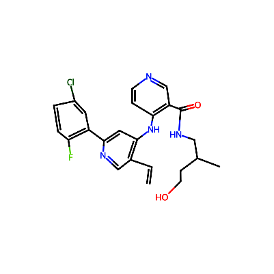 C=Cc1cnc(-c2cc(Cl)ccc2F)cc1Nc1ccncc1C(=O)NCC(C)CCO